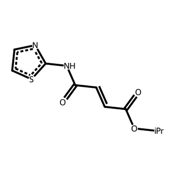 CC(C)OC(=O)/C=C/C(=O)Nc1nccs1